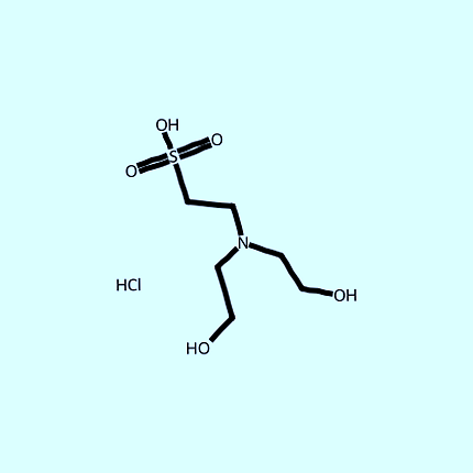 Cl.O=S(=O)(O)CCN(CCO)CCO